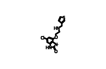 O=C1[N]c2c(cc(Cl)cc2OCCNCc2ccsc2)N1